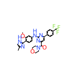 COc1cc(Nc2nc(C(=O)N3CCOCC3)cc(-c3ccc(C(F)(F)F)cc3)n2)ccc1-c1nc(C)c[nH]1